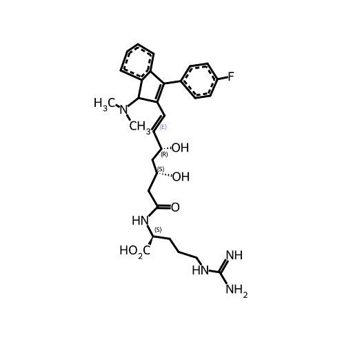 CN(C)C1C(/C=C/[C@H](O)C[C@H](O)CC(=O)N[C@@H](CCCNC(=N)N)C(=O)O)=C(c2ccc(F)cc2)c2ccccc21